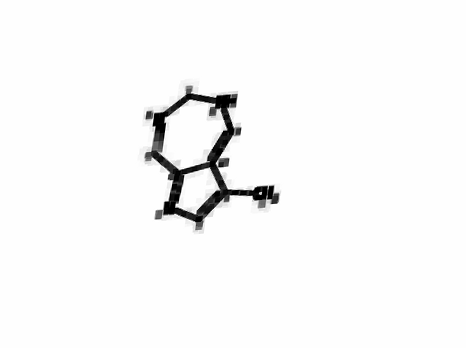 CC1=CN=C2C=NCNC=C12